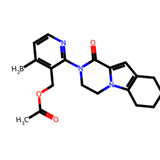 Bc1ccnc(N2CCn3c(cc4c3CCCC4)C2=O)c1COC(C)=O